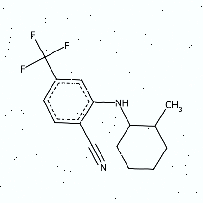 CC1CCCCC1Nc1cc(C(F)(F)F)ccc1C#N